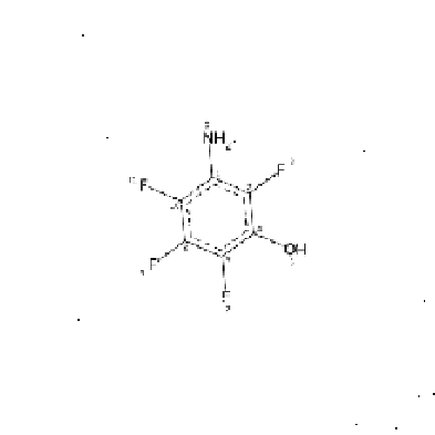 Nc1c(F)c(O)c(F)c(F)c1F